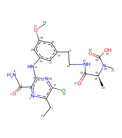 CCc1nc(C(N)=O)c(Nc2cc(CCNC(=O)[C@H](C)N(C)C(=O)O)cc(OC)c2)nc1Cl